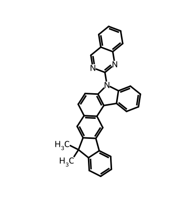 CC1(C)c2ccccc2-c2cc3c(ccc4c3c3ccccc3n4-c3ncc4ccccc4n3)cc21